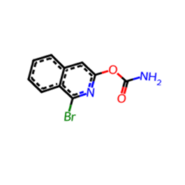 NC(=O)Oc1cc2ccccc2c(Br)n1